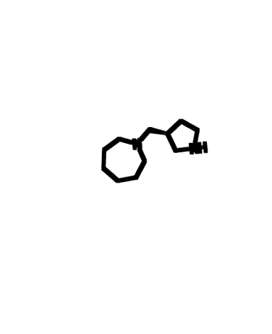 C1CCCN(C[C@H]2CCNC2)CC1